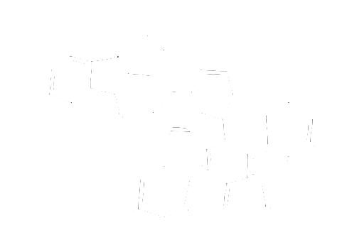 C=C/C=C(\C1=C(N)c2ccccc2C1(C)C)c1ccc2c3c(cccc13)-c1c-2c(-c2ccccc2)c2ccccc2c1-c1ccccc1